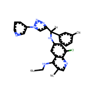 [2H]C(Nc1cc(Cl)c2ncc(C#N)c(NCC(C)(C)C)c2c1)(c1cccc(C#N)c1)c1cn(-c2cccnc2)nn1